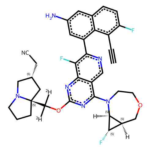 [2H]C([2H])(Oc1nc(N2CCOC[C@H]3[C@H](F)[C@H]32)c2cnc(-c3cc(N)cc4ccc(F)c(C#C)c34)c(F)c2n1)[C@@]12CCCN1C[C@H](CC#N)C2